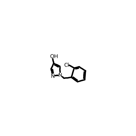 Oc1cnn(Cc2ccccc2Cl)c1